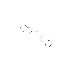 O=C(NC(=S)Nc1ccccc1)c1sc2ccccc2c1Cl